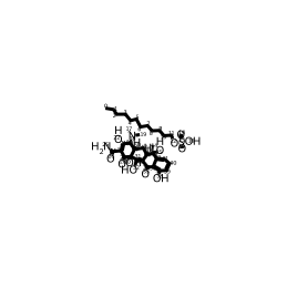 CCCCCCCCCCCCOS(=O)(=O)O.CN(C)[C@@H]1C(O)=C(C(N)=O)C(=O)[C@@]2(O)C(O)=C3C(=O)c4c(O)cccc4[C@@](C)(O)[C@H]3C[C@@H]12